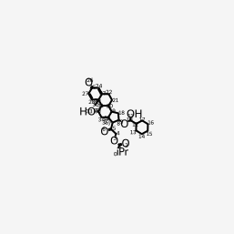 CC(C)C(=O)OCC(=O)C1C(OC(O)C2CCCCC2)CC2C3CCC4=CC(=O)C=CC4(C)C3[C@@H](O)C[C@@]21C